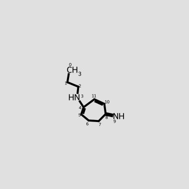 CCCNC1=CCCC(=N)C=C1